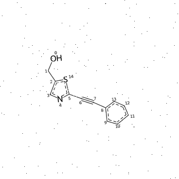 OCc1cnc(C#Cc2ccccc2)s1